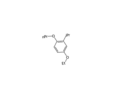 [CH2]C(C)c1cc(OCC)ccc1OCCC